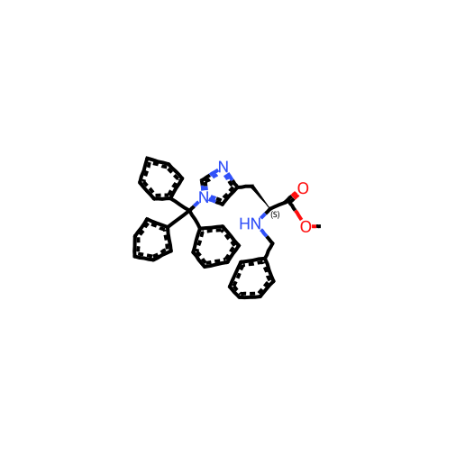 COC(=O)[C@H](Cc1cn(C(c2ccccc2)(c2ccccc2)c2ccccc2)cn1)NCc1ccccc1